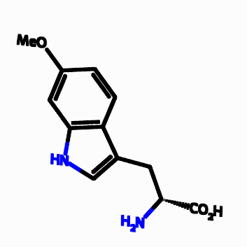 COc1ccc2c(C[C@@H](N)C(=O)O)c[nH]c2c1